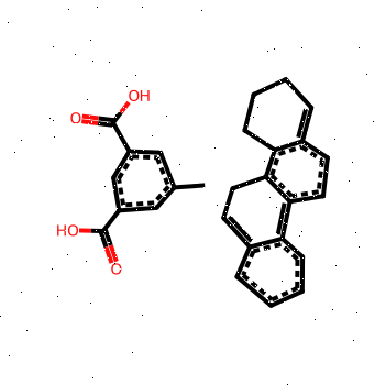 C1=c2ccc3c(c2CCC1)CC=c1ccccc1=3.Cc1cc(C(=O)O)cc(C(=O)O)c1